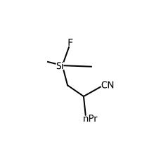 CCCC(C#N)C[Si](C)(C)F